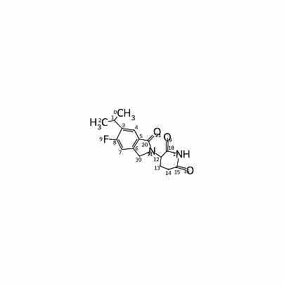 CC(C)c1cc2c(cc1F)CN(C1CCC(=O)NC1=O)C2=O